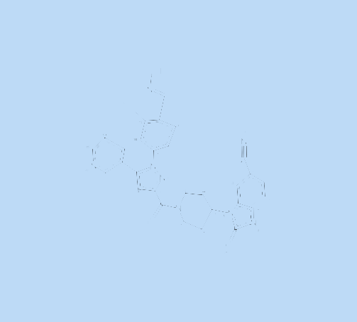 C/N=C/c1ccc(-n2nc(C(=O)N3CCC(n4c(=O)[nH]c5ccc(C#N)cc54)CC3)cc2-c2cccnc2)cc1F